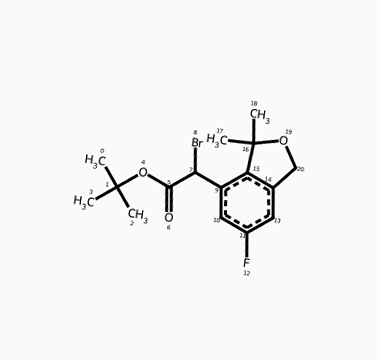 CC(C)(C)OC(=O)C(Br)c1cc(F)cc2c1C(C)(C)OC2